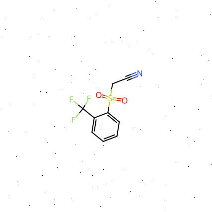 N#CCS(=O)(=O)c1ccccc1C(F)(F)F